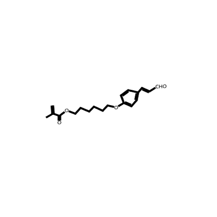 C=C(C)C(=O)OCCCCCCOc1ccc(/C=C/C=O)cc1